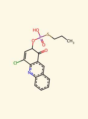 CCCSP(=O)(O)OC1C=C(Cl)c2nc3ccccc3cc2C1=O